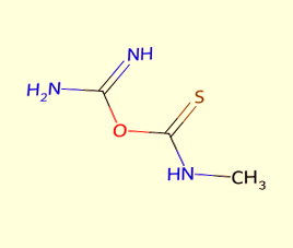 CNC(=S)OC(=N)N